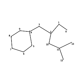 CCC(C[C]1CCCCC1)CC(C)C